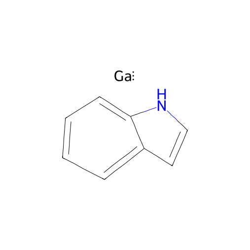 [Ga].c1ccc2[nH]ccc2c1